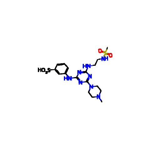 CN1CCN(c2nc(NCCNS(C)(=O)=O)nc(Nc3cccc(S(=O)(=O)O)c3)n2)CC1